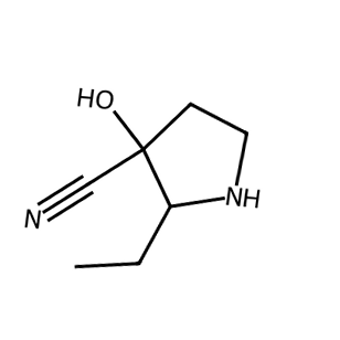 CCC1NCCC1(O)C#N